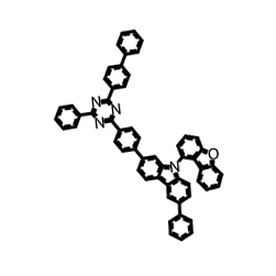 c1ccc(-c2ccc(-c3nc(-c4ccccc4)nc(-c4ccc(-c5ccc6c7cc(-c8ccccc8)ccc7n(-c7cccc8oc9ccccc9c78)c6c5)cc4)n3)cc2)cc1